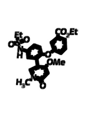 CCOC(=O)c1cccc(Oc2ccc(NS(=O)(=O)CC)cc2-c2cn(C)c(=O)cc2OC)c1